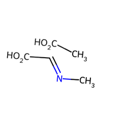 CC(=O)O.CN=CC(=O)O